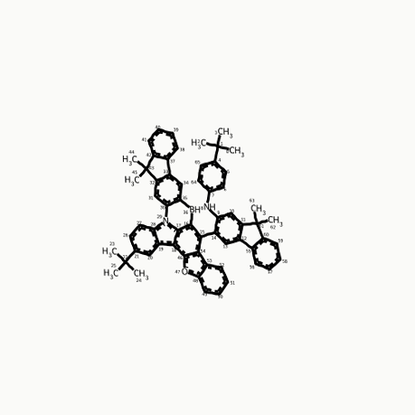 CC(C)(C)c1ccc(Nc2cc3c(cc2-c2c4c5c(c6cc(C(C)(C)C)ccc6n5-c5cc6c(cc5B4)-c4ccccc4C6(C)C)c4oc5ccccc5c24)-c2ccccc2C3(C)C)cc1